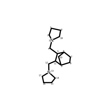 C1CCN(CC2C3CCC(C3)C2CN2CCCC2)C1